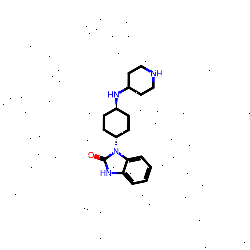 O=c1[nH]c2ccccc2n1[C@H]1CC[C@H](NC2CCNCC2)CC1